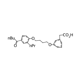 CCCCC(=O)c1ccc(OCCCCOc2cccc(CC(=O)O)c2)c(CCC)c1